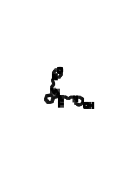 OC1CCN(CCCNc2nn(CCCN3CCOCC3)c3ccccc23)CC1